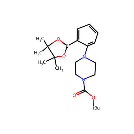 CC(C)(C)OC(=O)N1CCN(c2ccccc2B2OC(C)(C)C(C)(C)O2)CC1